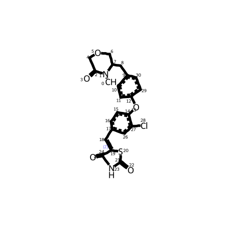 CN1C(=O)COCC1Cc1ccc(Oc2ccc(/C=C3\SC(=O)NC3=O)cc2Cl)cc1